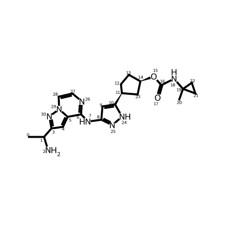 CC(N)c1cc2c(Nc3cc([C@H]4CC[C@@H](OC(=O)NC5(C)CC5)C4)[nH]n3)nccn2n1